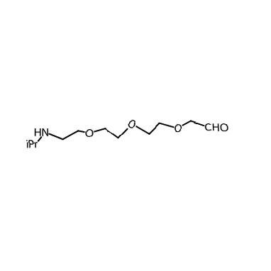 CC(C)NCCOCCOCCOCC=O